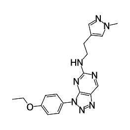 CCOc1ccc(-n2nnc3cnc(NCCc4cnn(C)c4)nc32)cc1